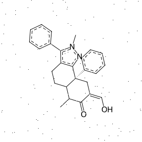 CC1C(=O)C(=CO)C[C@]2(c3ccccc3)c3nn(C)c(-c4ccccc4)c3CCC12